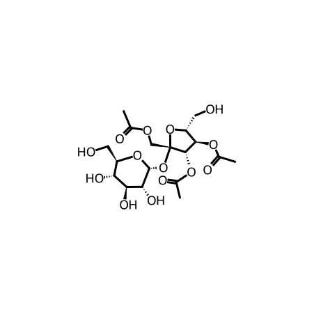 CC(=O)OC[C@@]1(O[C@H]2O[C@H](CO)[C@@H](O)[C@H](O)[C@H]2O)O[C@H](CO)[C@@H](OC(C)=O)[C@@H]1OC(C)=O